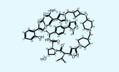 CC(C)[C@@H](C(=O)N1C[C@H](O)C[C@H]1C(=O)N[C@@H](C)c1ccc(-c2ccnn2C)cc1)c1cc(N2CCC(CN3CCC(OC4CC(Cn5cc(-c6cn7cc(-c8ccccc8O)nc7nc6N)cn5)C4)CC3)CC2)no1